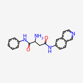 NC(CC(=O)Nc1ccc2cnccc2c1)C(=O)Nc1ccccc1